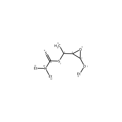 CCOC1OC1C(C)SC(=S)N(CC)CC